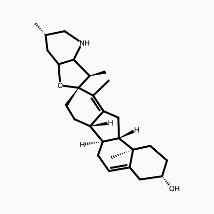 CC1=C2C[C@H]3[C@@H](CC=C4C[C@@H](O)CC[C@@]43C)[C@@H]2CC[C@]12OC1C[C@H](C)CNC1[C@H]2C